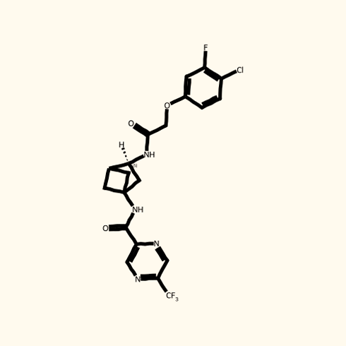 O=C(COc1ccc(Cl)c(F)c1)N[C@H]1CC2(NC(=O)c3cnc(C(F)(F)F)cn3)CC1C2